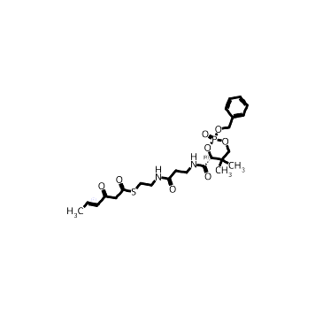 C/C=C/C(=O)CC(=O)SCCNC(=O)CCNC(=O)[C@@H]1OP(=O)(OCc2ccccc2)OCC1(C)C